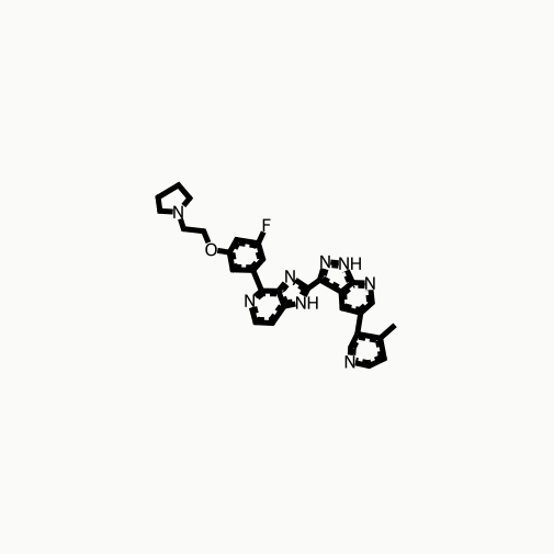 Cc1ccncc1-c1cnc2[nH]nc(-c3nc4c(-c5cc(F)cc(OCCN6CCCC6)c5)nccc4[nH]3)c2c1